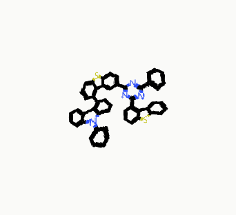 c1ccc(-c2nc(-c3ccc4sc5cccc(-c6cccc7c6c6ccccc6n7-c6ccccc6)c5c4c3)nc(-c3cccc4sc5ccccc5c34)n2)cc1